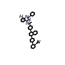 C=C(/N=C(\N=C(/N)c1ccccc1)c1ccccc1)c1ccc(-c2ccc(-c3ccc(-c4ccccc4C#N)cc3)c3ccccc23)cc1